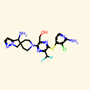 Nc1nccc(Sc2nc(CO)c(N3CCC4(CC3)Cn3nccc3C4N)nc2C(F)F)c1Cl